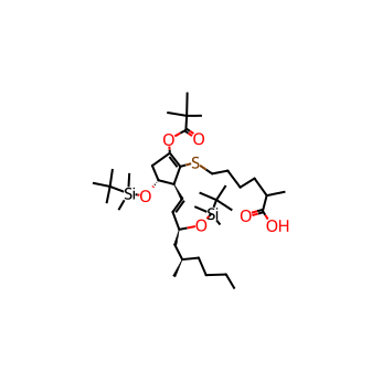 CCCC[C@@H](C)C[C@@H](C=C[C@@H]1C(SCCCCC(C)C(=O)O)=C(OC(=O)C(C)(C)C)C[C@H]1O[Si](C)(C)C(C)(C)C)O[Si](C)(C)C(C)(C)C